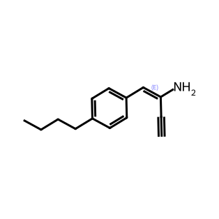 C#C/C(N)=C\c1ccc(CCCC)cc1